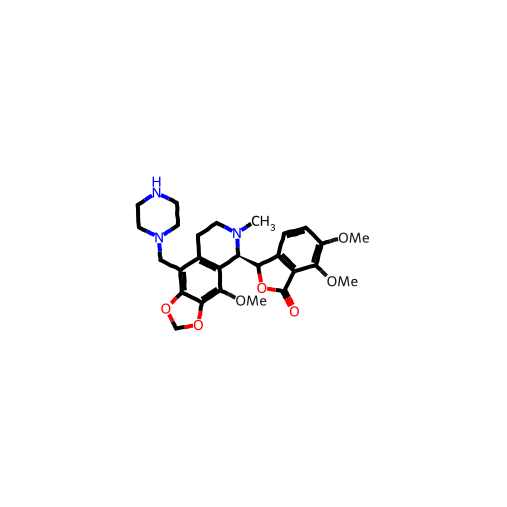 COc1ccc2c(c1OC)C(=O)OC2[C@H]1c2c(c(CN3CCNCC3)c3c(c2OC)OCO3)CCN1C